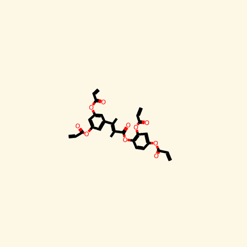 C=CC(=O)Oc1cc(OC(=O)C=C)cc(/C(C)=C(\C)C(=O)Oc2ccc(OC(=O)C=C)cc2OC(=O)C=C)c1